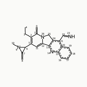 C=C1C(CC)=C(C2C(=C)N2C)C=C2c3nc4ccccc4c(C=N)c3CN12